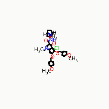 CCn1cc(C(=O)N[C@H]2C[C@H]3CC[C@@H](C2)N3C)c(=O)c2c(Cl)c(OCc3ccc(OC)cc3)c(OCc3ccc(OC)cc3)cc21